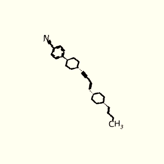 CCCC[C@H]1CC[C@H](C=CC#C[C@H]2CC[C@H](c3ccc(C#N)cc3)CC2)CC1